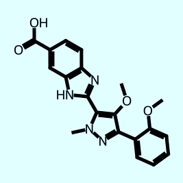 COc1ccccc1-c1nn(C)c(-c2nc3ccc(C(=O)O)cc3[nH]2)c1OC